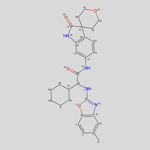 Cc1ccc2oc(NC(C(=O)Nc3ccc4c(c3)NC(=O)C43CCOCC3)C3CCCCC3)nc2c1